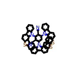 N#Cc1c(-n2c3ccccc3c3ccc4sc5ccccc5c4c32)cc(-n2c3ccccc3c3ccc4sc5ccccc5c4c32)c(C#N)c1-n1c2ccccc2c2ccc3sc4ccccc4c3c21